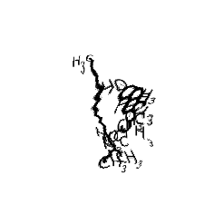 CCCCCCCCCCCCCCCC(=O)OCC(CC)CCCC.CC[C@H](/C=C/[C@@H](C)[C@H]1CC[C@H]2[C@@H]3CC=C4C[C@@H](O)CC[C@]4(C)[C@H]3CC[C@]12C)C(C)C